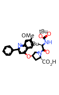 COc1ccc2c(O[C@@H]3C[C@@H](C(=O)O)N(C(=O)[C@H](NC(=O)OC(C)(C)C)C(C)(C)C)C3)cc(-c3ccccc3)nc2c1